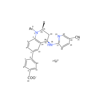 CC(=O)N1c2ccc(-c3ccc(C(=O)[O-])cc3)cc2[C@H](Nc2ccc(C#N)cn2)C[C@@H]1C.[Li+]